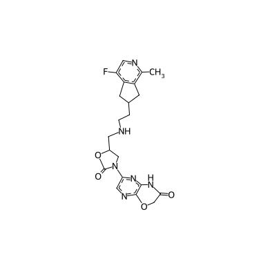 Cc1ncc(F)c2c1CC(CCNCC1CN(c3cnc4c(n3)NC(=O)CO4)C(=O)O1)C2